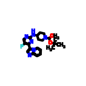 CC(C)(C)OC(=O)N1CCC(Nc2ncc(F)c(-c3cnc4ccccn34)n2)CC1